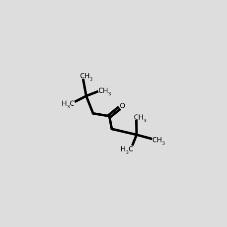 CC(C)(C)CC(=O)CC(C)(C)C